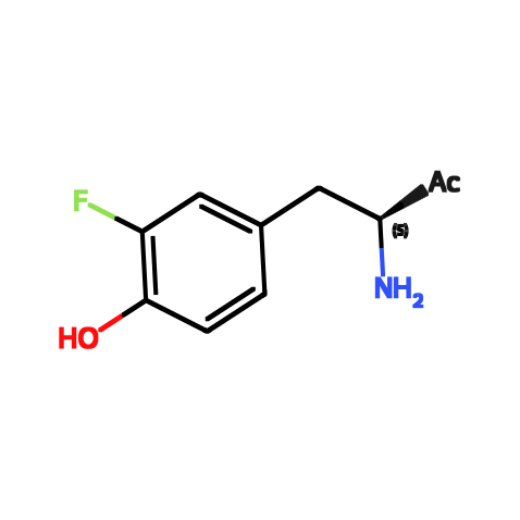 CC(=O)[C@@H](N)Cc1ccc(O)c(F)c1